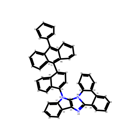 c1ccc(-c2c3ccccc3c(-c3ccc(-n4c5ccccc5c5nc6c7ccccc7c7ccccc7n6c54)c4ccccc34)c3ccccc23)cc1